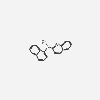 CC(C)N(c1ccc2ccccc2n1)c1cccc2ccccc12